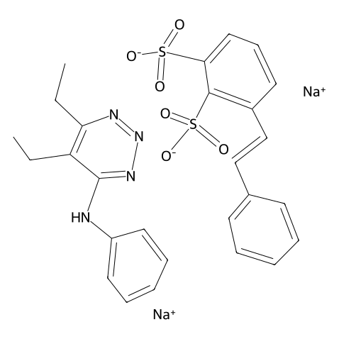 CCc1nnnc(Nc2ccccc2)c1CC.O=S(=O)([O-])c1cccc(C=Cc2ccccc2)c1S(=O)(=O)[O-].[Na+].[Na+]